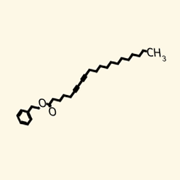 CCCCCCCCCCCCC#CC#CCCCCC(=O)OCCc1ccccc1